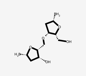 B[C@H]1C[C@@H](O)[C@@H](CO[C@@H]2C[C@H](B)O[C@@H]2CO)O1